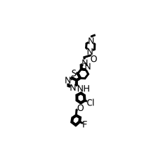 CCN1CCN(C(=O)Cn2cc3c(n2)CCc2c-3sc3ncnc(Nc4ccc(OCc5cccc(F)c5)c(Cl)c4)c23)CC1